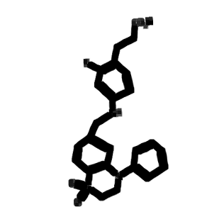 O=C(O)CCc1ccc(NCc2ccc3c(c2)N(c2ccccc2)CCS3(=O)=O)cc1F